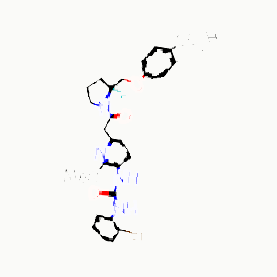 COc1nc(CC(=O)N2CCC[C@]2(F)COc2ccc(C(=O)O)cc2)ccc1NC(=O)Nc1ccccc1Br